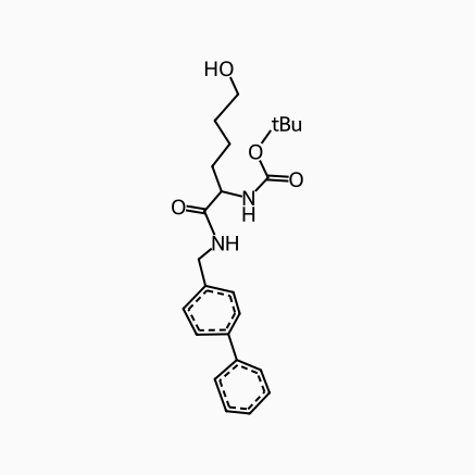 CC(C)(C)OC(=O)NC(CCCCO)C(=O)NCc1ccc(-c2ccccc2)cc1